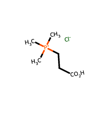 C[P+](C)(C)CCC(=O)O.[Cl-]